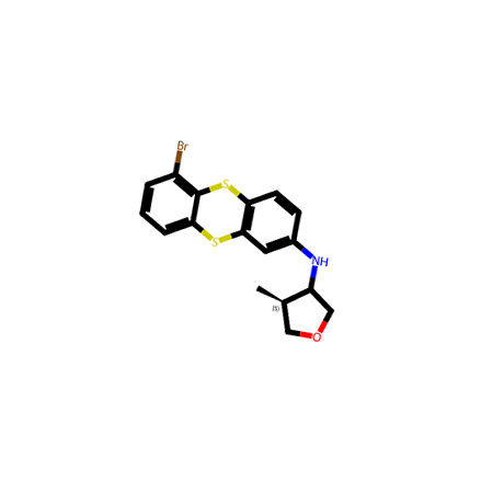 C[C@@H]1COCC1Nc1ccc2c(c1)Sc1cccc(Br)c1S2